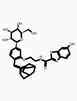 O=C(NCCOc1cc([C@@H]2O[C@H](CO)[C@H](O)[C@H](O)[C@H]2O)ccc1C=C1C2CC3CC(C2)CC1C3)c1nc2ccc(O)cc2s1